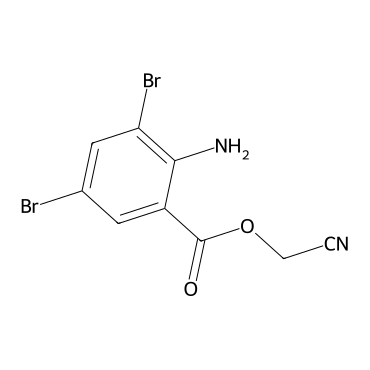 N#CCOC(=O)c1cc(Br)cc(Br)c1N